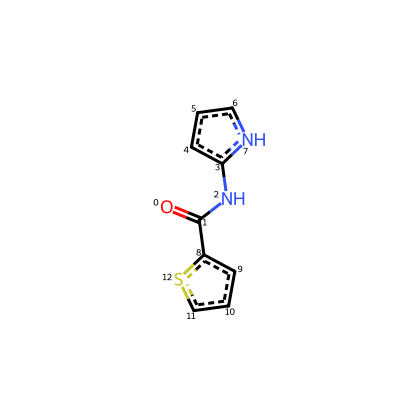 O=C(Nc1ccc[nH]1)c1cccs1